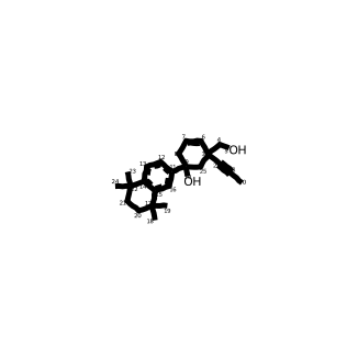 CC#CC1(CO)C=CCC(O)(c2ccc3c(c2)C(C)(C)CCC3(C)C)C1